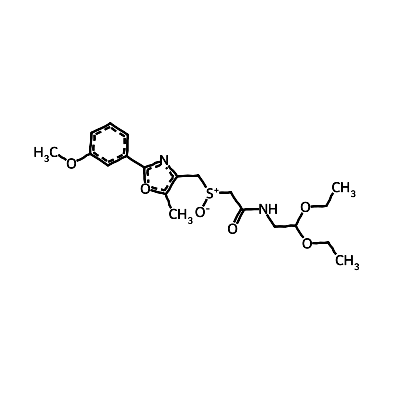 CCOC(CNC(=O)C[S+]([O-])Cc1nc(-c2cccc(OC)c2)oc1C)OCC